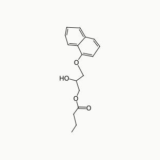 CCCC(=O)OCC(O)COc1cccc2ccccc12